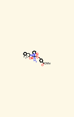 COC(=O)c1ccc(COC(=O)C(N)(C(=O)NC(Cc2ccccc2)C(O)C(F)(F)F)n2ccccc2=O)cc1